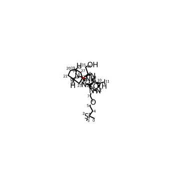 C[Si](C)(C)CCOCn1nc(I)c2nc(CO)c(N3[C@@H]4CC[C@H]3CC(NC(=O)O)C4)nc21